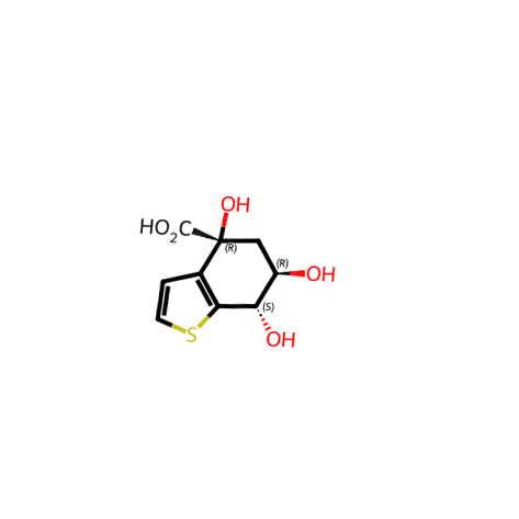 O=C(O)[C@@]1(O)C[C@@H](O)[C@H](O)c2sccc21